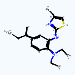 CC(C)CN(CC(C)C)c1ccc(C(C)CC(=O)O)cc1Nc1nc(C(C)C)cs1